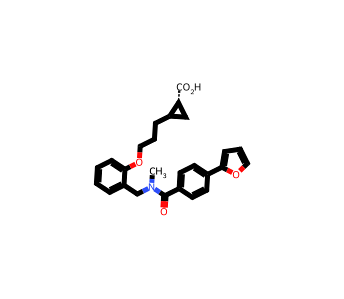 CN(Cc1ccccc1OCCCC1C[C@H]1C(=O)O)C(=O)c1ccc(-c2ccco2)cc1